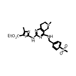 CCOC(=O)c1sc(Nc2nc3c(c(NCc4ccc(S(C)(=O)=O)cc4)n2)CN(C)CC3)nc1C